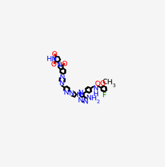 COc1ccc(F)cc1C(=O)NCc1ccc(-c2nn(C3CCN(c4ccc(CN5CCN(c6ccc7c(c6)CN([C@H]6CCC(=O)NC6=O)C7=O)CC5)cn4)C3)c3ncnc(N)c23)cc1